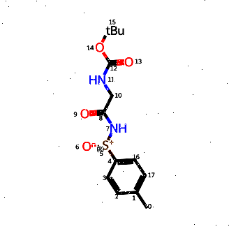 Cc1ccc([S@+]([O-])NC(=O)CNC(=O)OC(C)(C)C)cc1